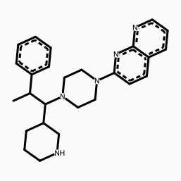 CC(c1ccccc1)C(C1CCCNC1)N1CCN(c2ccc3cccnc3n2)CC1